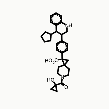 O=C(N1CCC2(CC1)C[C@@]2(C(=O)O)c1ccc(C2CNc3ccccc3C2C2CCCC2)cc1)C1(O)CC1